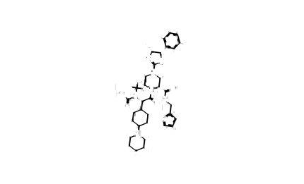 C[C@@H]1N=C(N2CCN(C(=O)[C@@H](C3CCC(N4CCCCC4)CC3)N(C(=O)O)C(C)(C)C)[C@H](C(=O)NCc3cccs3)C2)O[C@H]1c1ccccc1